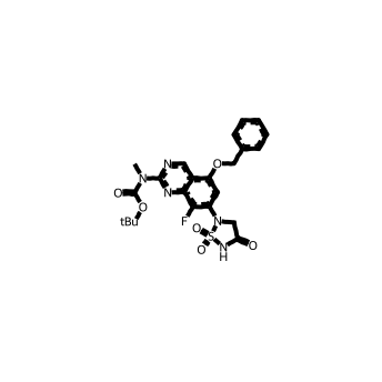 CN(C(=O)OC(C)(C)C)c1ncc2c(OCc3ccccc3)cc(N3CC(=O)NS3(=O)=O)c(F)c2n1